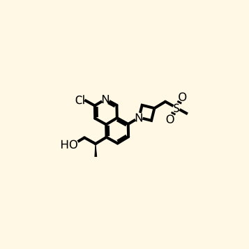 C[C@@H](CO)c1ccc(N2CC(CS(C)(=O)=O)C2)c2cnc(Cl)cc12